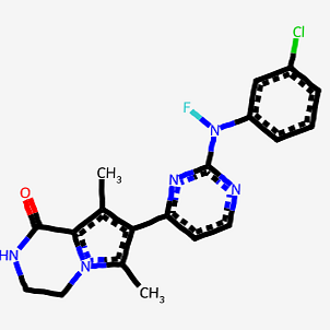 Cc1c(-c2ccnc(N(F)c3cccc(Cl)c3)n2)c(C)n2c1C(=O)NCC2